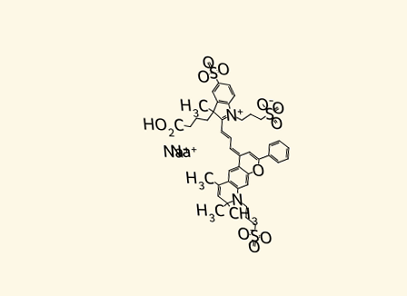 CC1=CC(C)(C)N(CCCS(=O)(=O)[O-])c2cc3c(cc21)C(=CC=CC1=[N+](CCCS(=O)(=O)[O-])c2ccc(S(=O)(=O)[O-])cc2C1(C)CCCC(=O)O)C=C(c1ccccc1)O3.[Na+].[Na+]